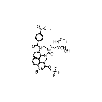 CN[C@@H](C)CN[C@H]1CN(C(=O)c2ccc(C(C)=O)cc2)c2ccccc2N(Cc2c(OCC(F)(F)F)c[n+]([O-])c3ccccc23)C1=O.Cl